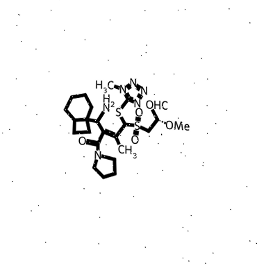 CO[C@@H](C=O)CS(=O)(=O)C(Sc1nnnn1C)C(C)=C(C(=O)N1CCCC1)C(N)C12CCCCC1CC2